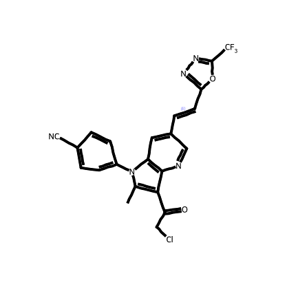 Cc1c(C(=O)CCl)c2ncc(/C=C/c3nnc(C(F)(F)F)o3)cc2n1-c1ccc(C#N)cc1